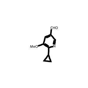 COc1cc(C=O)cnc1C1CC1